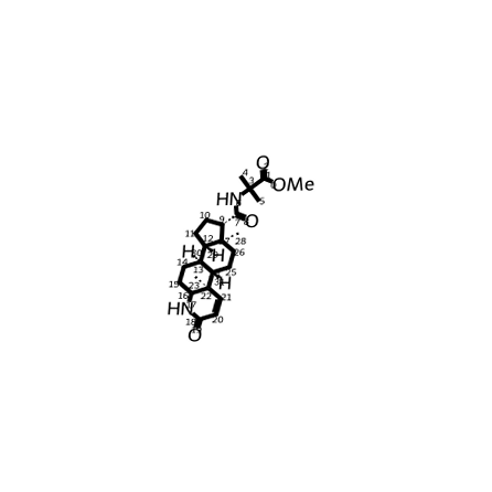 COC(=O)C(C)(C)NC(=O)[C@H]1CC[C@H]2[C@@H]3CCC4NC(=O)C=C[C@]4(C)[C@H]3CC[C@]12C